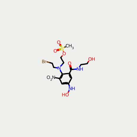 CS(=O)(=O)OCCN(CCBr)c1c(C(=O)NCCO)cc(NO)cc1[N+](=O)[O-]